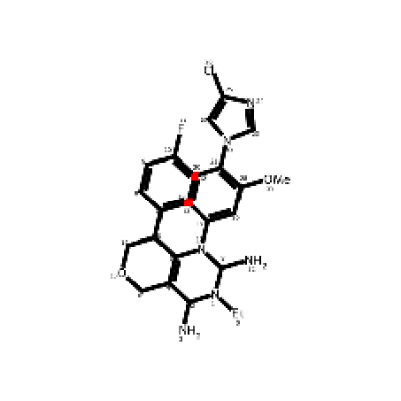 CCN1C(N)C2=C(C(c3ccc(F)cc3)COC2)N(c2ccc(-n3cnc(Cl)c3)c(OC)c2)C1N